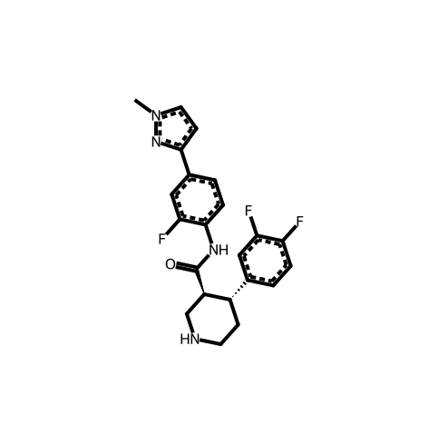 Cn1ccc(-c2ccc(NC(=O)[C@@H]3CNCC[C@H]3c3ccc(F)c(F)c3)c(F)c2)n1